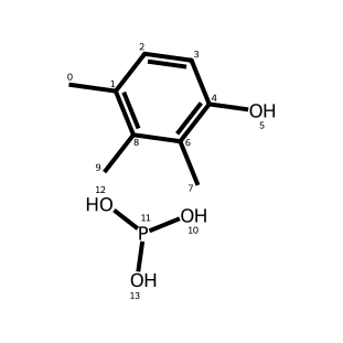 Cc1ccc(O)c(C)c1C.OP(O)O